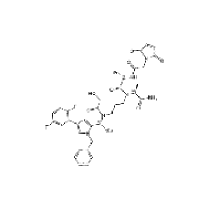 CC(C)[C@H](NC(=O)CN1C(=O)C=CC1=O)C(=O)N(CCCN(C(=O)CO)[C@@H](c1cc(-c2cc(F)ccc2F)cn1Cc1ccccc1)C(C)(C)C)[C@@H](C)C(N)=O